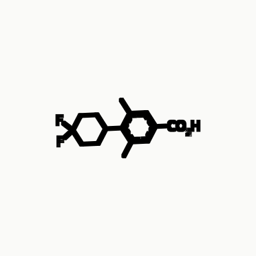 Cc1cc(C(=O)O)cc(C)c1C1CCC(F)(F)CC1